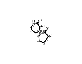 O=C1NCCCCC1Cl.O=C1NCCCCC1Cl